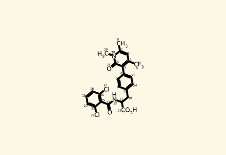 Cc1cc(C(F)(F)F)c(-c2ccc(CC(NC(=O)c3c(Cl)cccc3Cl)C(=O)O)cc2)c(=O)n1C